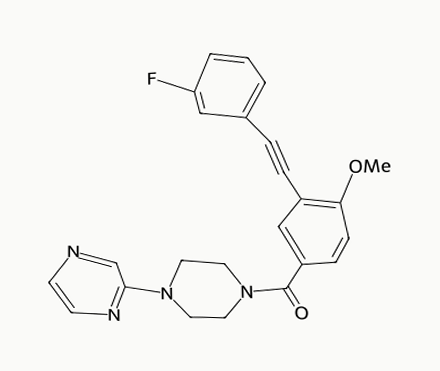 COc1ccc(C(=O)N2CCN(c3cnccn3)CC2)cc1C#Cc1cccc(F)c1